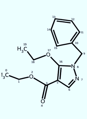 CCOC(=O)c1cnn(Cc2ccccc2)c1OCC